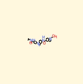 O=C(Nc1ccc2c(cnn2-c2ccc(C(=O)NC3CC3)cc2)c1)c1ccc2c(ccn2CCO)c1